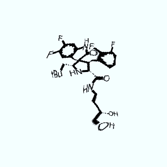 CC(C)(C)C[C@H]1N[C@@H](C(=O)NCC[C@H](O)CO)[C@H](c2cccc(F)c2F)[C@@]12C(=O)Nc1cc(F)c(F)cc12